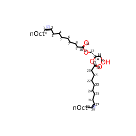 CCCCCCCC/C=C\CCCCCCCC(=O)OC[C@H](CO)OC(=O)CCCCCCC/C=C\CCCCCCCC